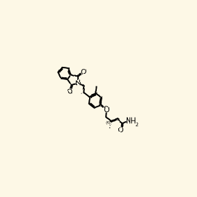 Cc1cc(OC[C@@H](C)CC(N)=O)ccc1[CH]CN1C(=O)c2ccccc2C1=O